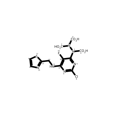 O=C(O)N(C(=O)O)N(C(=O)O)c1nc(Cl)nc(NCc2nccs2)c1F